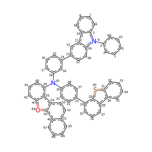 c1ccc(-n2c3ccccc3c3cc(-c4cccc(N(c5ccc(-c6cccc7c6sc6ccccc67)cc5)c5cccc6oc7c8ccccc8ccc7c56)c4)ccc32)cc1